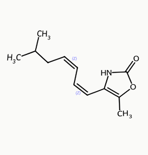 Cc1oc(=O)[nH]c1/C=C\C=C/CC(C)C